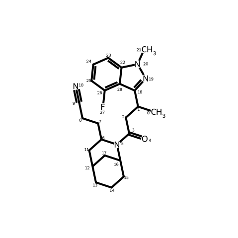 CC(CC(=O)N1C(CCC#N)CC2CCCC1C2)c1nn(C)c2cccc(F)c12